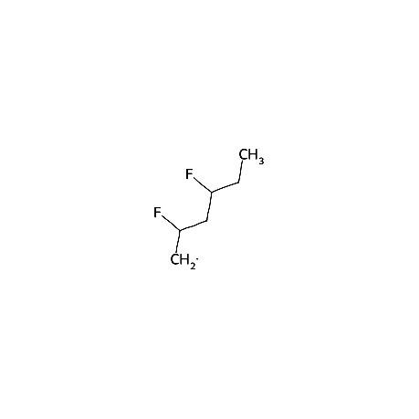 [CH2]C(F)CC(F)CC